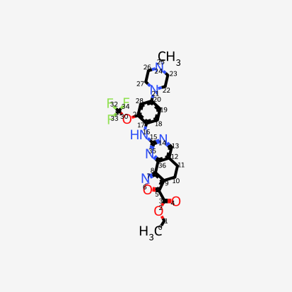 CCOC(=O)c1onc2c1CCc1cnc(Nc3ccc(N4CCN(C)CC4)cc3OC(F)(F)F)nc1-2